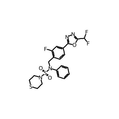 O=S(=O)(N1CCSCC1)N(Cc1ccc(-c2nnc(C(F)F)o2)cc1F)c1ccccc1